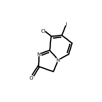 O=C1CN2C=CC(I)=C(Cl)C2=N1